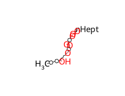 [CH2+][CH-]CCCCCOCCOOCC1CCC(C(=O)OC2CCC(OCCCCCC(O)C3CCC(C4CCC(C)CC4)CC3)CC2)CC1